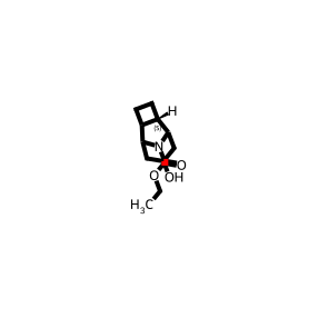 CCOC(=O)N1C2CC(O)CC1[C@H]1CCC21